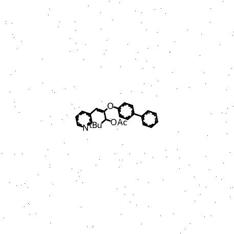 CC(=O)OC(/C(=C\c1cccnc1)Oc1ccc(-c2ccccc2)cc1)C(C)(C)C